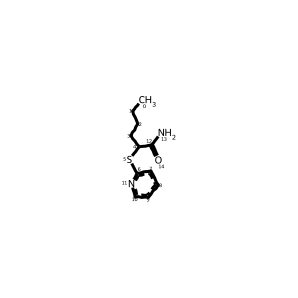 CCCCC(Sc1ccccn1)C(N)=O